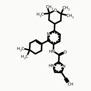 C#Cc1c[nH]c(C(=O)Nc2ccc(C3CC(C)(C)OC(C)(C)C3)nc2C2=CCC(C)(C)CC2)n1